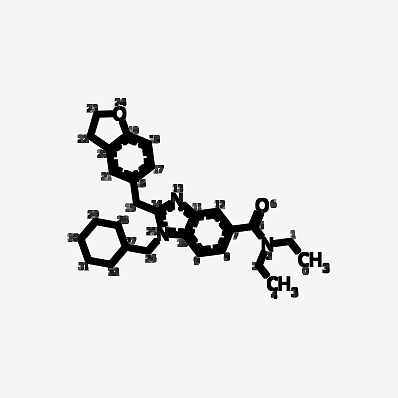 CCN(CC)C(=O)c1ccc2c(c1)nc(Cc1ccc3c(c1)CCO3)n2CC1CCCCC1